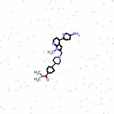 CN(C)C(=O)c1ccc(C2CCN(Cc3cc4c(-c5ccc(N)cn5)ccnc4n3C)CC2)cc1